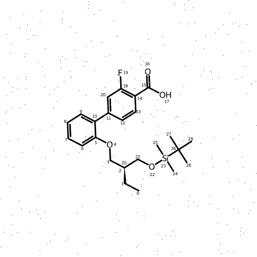 CC[C@@H](COc1ccccc1-c1ccc(C(=O)O)c(F)c1)CO[Si](C)(C)C(C)(C)C